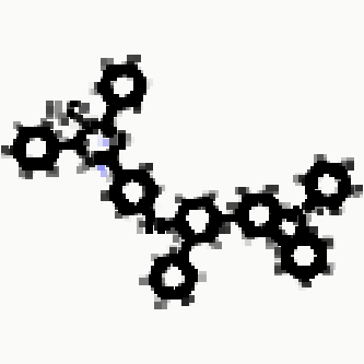 CNC(/N=C(\N=C\c1ccccc1)c1ccc(NC2=C(c3ccccc3)C=C(c3ccc4c(c3)c3ccccc3n4-c3ccccc3)CC2)cc1)c1ccccc1